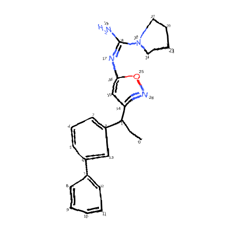 CC(c1cccc(-c2[c]cccc2)c1)c1cc(N=C(N)N2CCCC2)on1